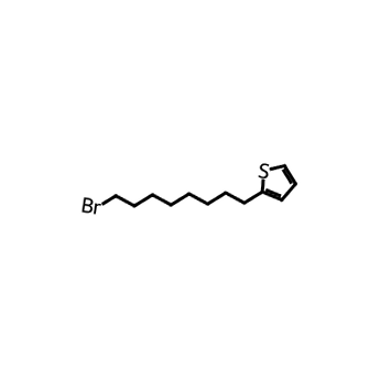 BrCCCCCCCCc1cccs1